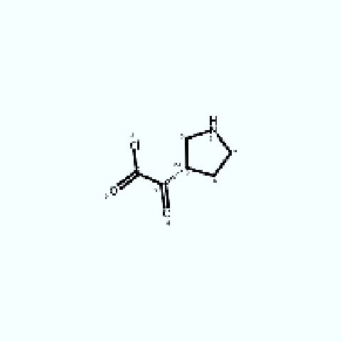 O=C(Cl)C(=O)[C@H]1CCNC1